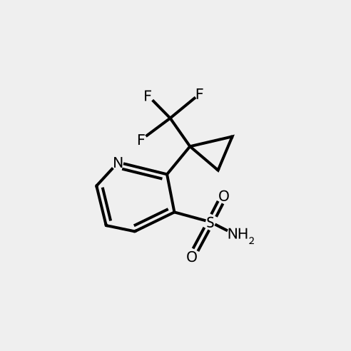 NS(=O)(=O)c1cccnc1C1(C(F)(F)F)CC1